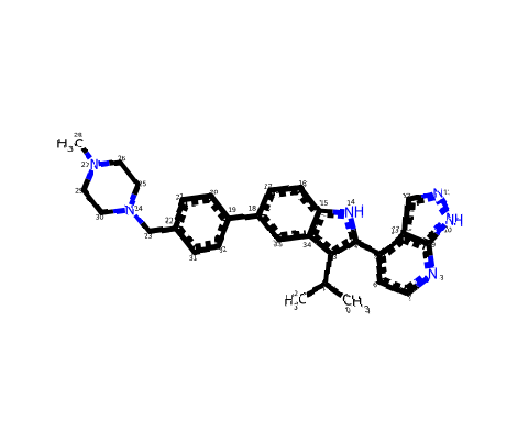 CC(C)c1c(-c2ccnc3[nH]ncc23)[nH]c2ccc(-c3ccc(CN4CCN(C)CC4)cc3)cc12